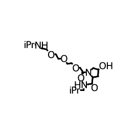 CC(C)CNC(=O)C1CC(O)CN1C(=O)COCCOCCOCCNC(C)C